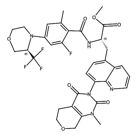 COC(=O)[C@H](Cc1ccc(-n2c(=O)c3c(n(C)c2=O)COCC3)c2ncccc12)NC(=O)c1c(C)cc(N2CCOC[C@@H]2C(F)(F)F)cc1F